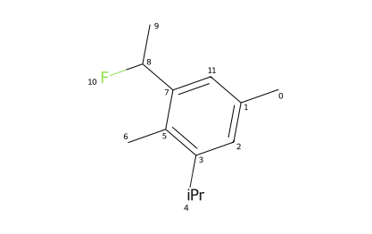 Cc1cc(C(C)C)c(C)c(C(C)F)c1